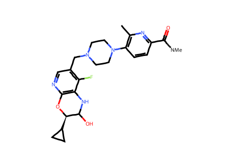 CNC(=O)c1ccc(N2CCN(Cc3cnc4c(c3F)NC(O)[C@@H](C3CC3)O4)CC2)c(C)n1